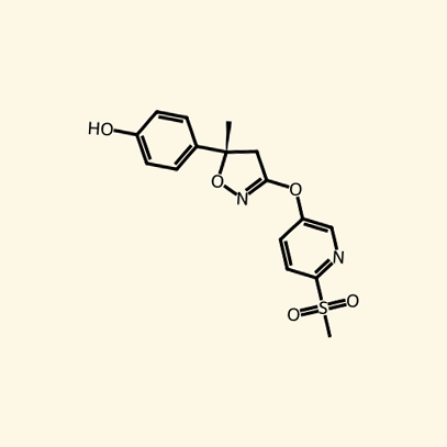 C[C@@]1(c2ccc(O)cc2)CC(Oc2ccc(S(C)(=O)=O)nc2)=NO1